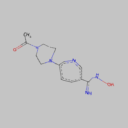 CC(=O)N1CCN(c2ccc(C(=N)NO)cn2)CC1